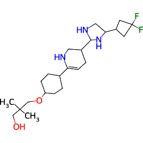 CC(C)(CO)COC1CCC(C2=CCC(C3NCC(C4CC(F)(F)C4)N3)CN2)CC1